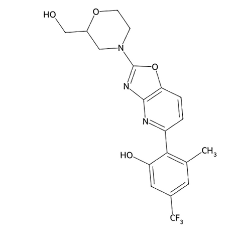 Cc1cc(C(F)(F)F)cc(O)c1-c1ccc2oc(N3CCOC(CO)C3)nc2n1